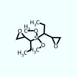 CCC(C1CO1)[Si](OC)(OC)C(CC)C1CO1